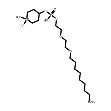 CCCCCCCCCCCCCCCCCCOCCOCCOP(=O)(O)OC1CC[N+](C)(C)CC1